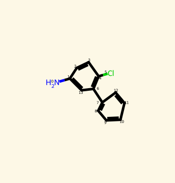 Nc1ccc(Cl)c(-c2ccccc2)c1